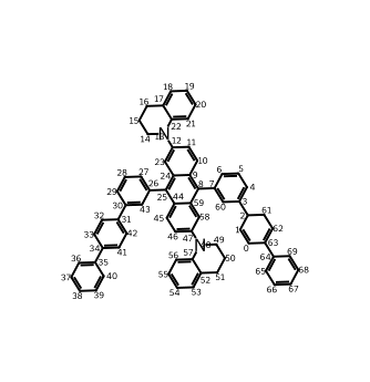 C1=CC(c2cccc(-c3c4ccc(N5CCCc6ccccc65)cc4c(-c4cccc(-c5ccc(-c6ccccc6)cc5)c4)c4ccc(N5CCCc6ccccc65)cc34)c2)CC=C1c1ccccc1